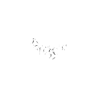 O=C(O)CCCn1c2c(c3ccccc31)C[C@H](NS(=O)(=O)c1ccc(F)cc1)CC2